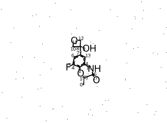 C[C@H]1Oc2c(F)cc(C3(O)COC3)cc2NC1=O